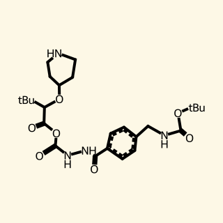 CC(C)(C)OC(=O)NCc1ccc(C(=O)NNC(=O)OC(=O)C(OC2CCNCC2)C(C)(C)C)cc1